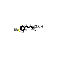 CCSc1ccc(/C=C/C=C(\C#N)C(=O)O)cc1